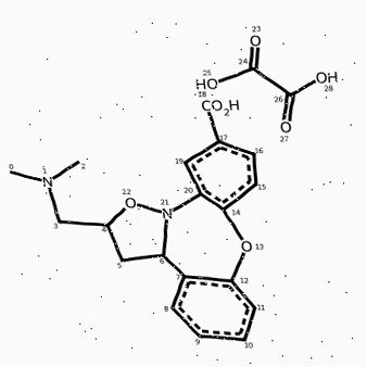 CN(C)CC1CC2c3ccccc3Oc3ccc(C(=O)O)cc3N2O1.O=C(O)C(=O)O